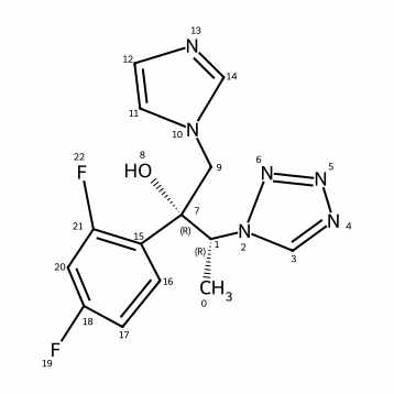 C[C@@H](n1cnnn1)[C@](O)(Cn1ccnc1)c1ccc(F)cc1F